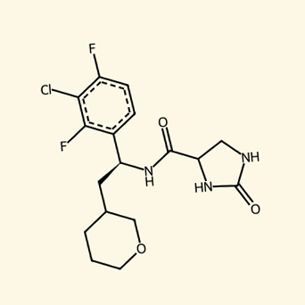 O=C1NCC(C(=O)N[C@@H](CC2CCCOC2)c2ccc(F)c(Cl)c2F)N1